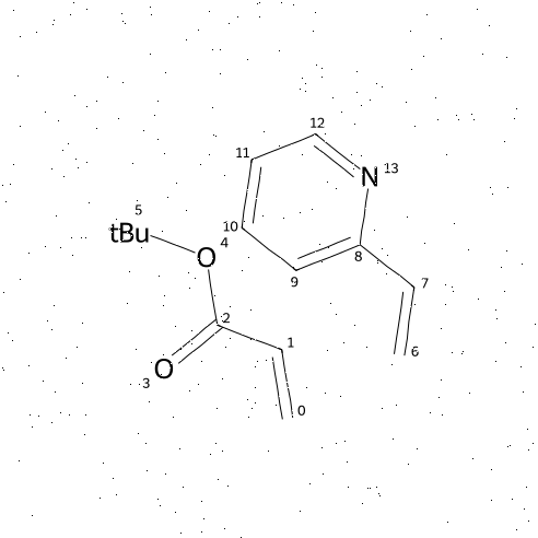 C=CC(=O)OC(C)(C)C.C=Cc1ccccn1